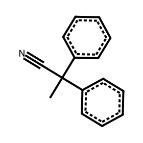 CC(C#N)(c1ccccc1)c1ccccc1